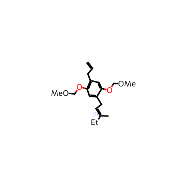 C=CCc1cc(OCOC)c(C/C=C(\C)CC)cc1OCOC